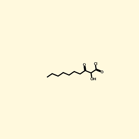 CCCCCCCC(=O)C(O)C(=O)Cl